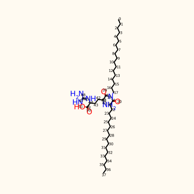 CCCCCCCCCCCCCCCCCCN(C(=O)CCCCCCCCCCCCCCCCC)C(=O)[C@@H](N)CCC(NC(=N)N)C(=O)O